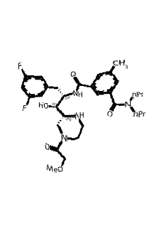 CCCN(CCC)C(=O)c1cc(C)cc(C(=O)N[C@@H](Cc2cc(F)cc(F)c2)[C@H](O)[C@H]2CN(C(=O)COC)CCN2)c1